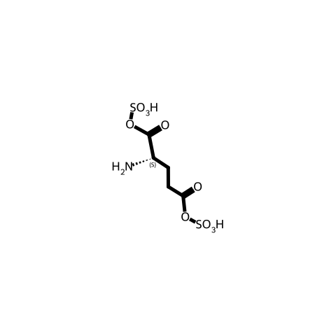 N[C@@H](CCC(=O)OS(=O)(=O)O)C(=O)OS(=O)(=O)O